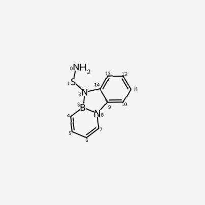 NSN1B2C=CC=CN2c2ccccc21